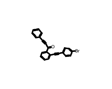 O=C(C#Cc1ccccc1)c1ccccc1C#Cc1ccc(Br)cc1